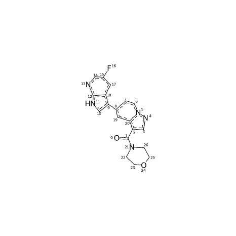 O=C(c1cnn2ccc(-c3c[nH]c4ncc(F)cc34)cc12)N1CCOCC1